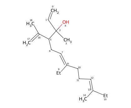 C=CC(C)(O)C(C/C=C(\CC)CC/C=C(\C)CC)C(=C)C